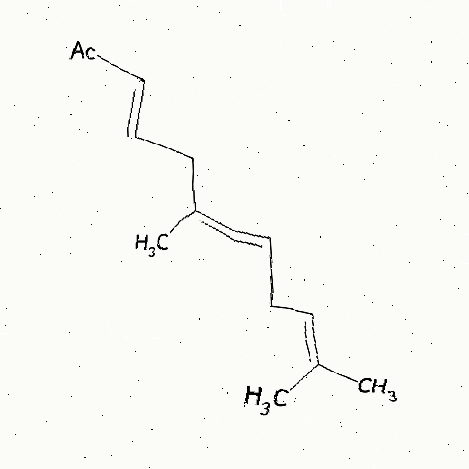 CC(=O)/C=C/C/C(C)=C/CC=C(C)C